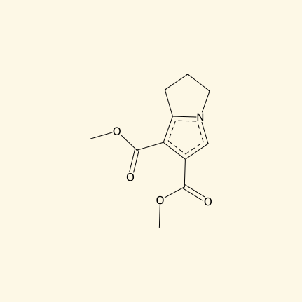 COC(=O)c1cn2c(c1C(=O)OC)CCC2